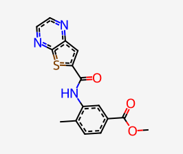 COC(=O)c1ccc(C)c(NC(=O)c2cc3nccnc3s2)c1